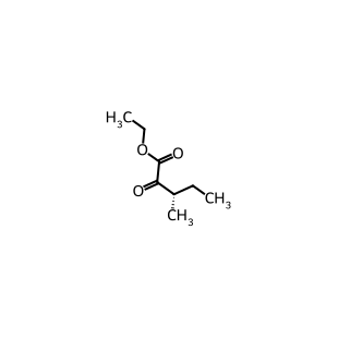 CCOC(=O)C(=O)[C@@H](C)CC